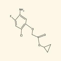 Nc1cc(OCC(=O)OC2CC2)c(Cl)cc1F